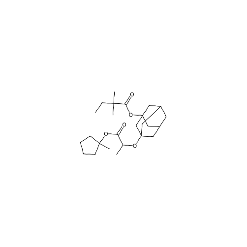 CCC(C)(C)C(=O)OC12CC3CC(C1)CC(OC(C)C(=O)OC1(C)CCCC1)(C3)C2